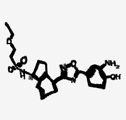 CCOCCS(=O)(=O)N[C@H]1CCC2=C1CCC=C2c1noc(-c2ccc(O)c(N)c2)n1